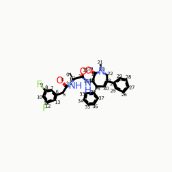 C[C@H](NC(=O)Cc1cc(F)cc(F)c1)C(=O)N[C@@H]1C(=O)N(C)CC(c2ccccc2)=C[C@@H]1c1ccccc1